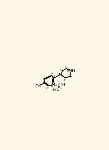 Cl.Cl.Clc1ccc(N2CCNCC2)nc1